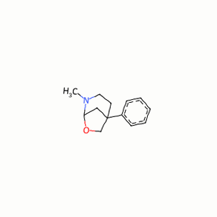 CN1CCC2(c3ccccc3)COC1C2